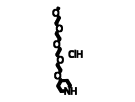 COCCOCCOCCOCCOC1CCNCC1.Cl